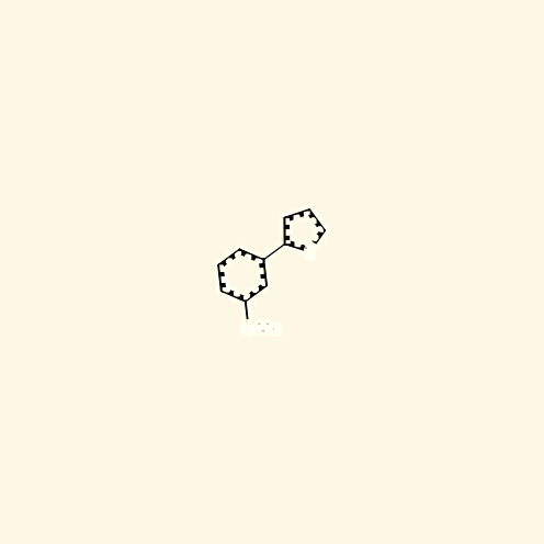 COc1cccc(-c2cccs2)c1